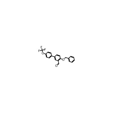 O=Cc1cc(-c2ccc(OC(F)(F)F)cc2)ccc1OCc1ccccc1